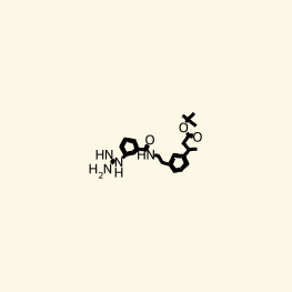 CC(CC(=O)OC(C)(C)C)c1cccc(CCNC(=O)c2cccc(NC(=N)N)c2)c1